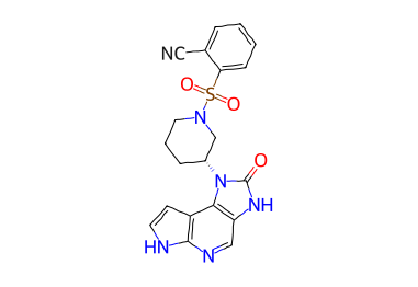 N#Cc1ccccc1S(=O)(=O)N1CCC[C@@H](n2c(=O)[nH]c3cnc4[nH]ccc4c32)C1